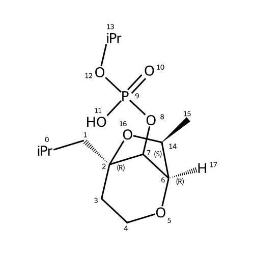 CC(C)C[C@@]12CCO[C@@H](C1OP(=O)(O)OC(C)C)[C@H](C)O2